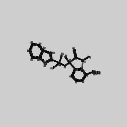 CCOC(=O)c1cccc2c1N(C)C(=O)C2(C)CC(F)(F)c1nc2ccccc2o1